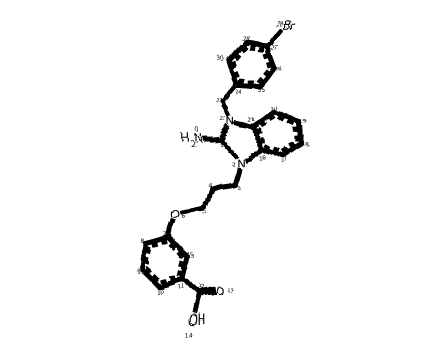 NC1N(CCCOc2cccc(C(=O)O)c2)c2ccccc2N1Cc1ccc(Br)cc1